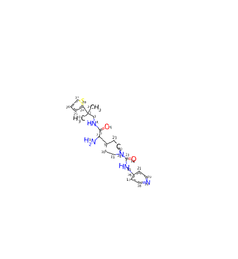 CC(C)(CNC(=O)C(N)C1CCN(C(=O)Nc2ccncc2)CC1)c1cccs1